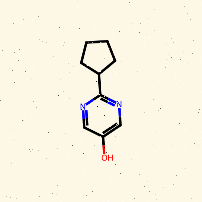 Oc1cnc(C2CCCC2)nc1